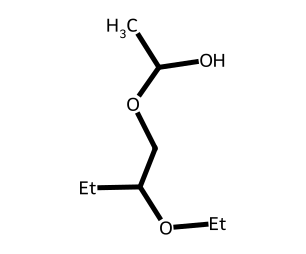 CCOC(CC)COC(C)O